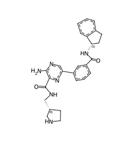 Nc1ncc(-c2cccc(C(=O)N[C@H]3CCc4ccccc43)c2)nc1C(=O)NC[C@@H]1CCNC1